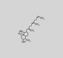 C=C(CC/C=C(\C)CC/C=C\C)CC1CCC2C(C)C(O)CCC2(C)C1CCC